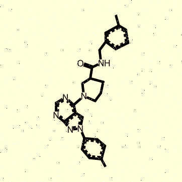 Cc1ccc(-n2cc3c(N4CCCC(C(=O)NCc5cccc(C)c5)C4)ncnc3n2)cc1